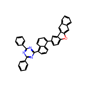 c1ccc(-c2nc(-c3ccccc3)nc(-c3cccc4c(-c5ccc6oc7cc8ccccc8cc7c6c5)cccc34)n2)cc1